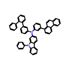 c1ccc(-c2ccccc2-c2cccc(N(c3cccc(-c4cccc5c4ccc4ccccc45)c3)c3ccc4c5ccccc5n(-c5ccccc5)c4c3)c2)cc1